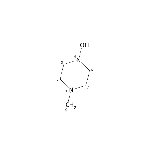 [CH2]N1CCN(O)CC1